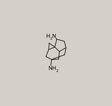 NC1CC2CC3(N)CC4CC14C2C3